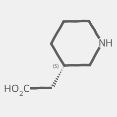 O=C(O)C[C@@H]1CCCNC1